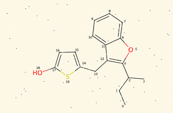 CCC(C)c1oc2ccccc2c1Cc1ccc(O)s1